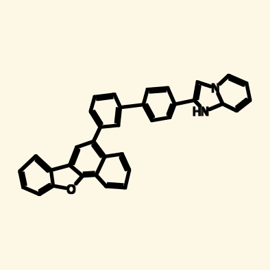 C1=CC2NC(c3ccc(-c4cccc(-c5cc6c7ccccc7oc6c6ccccc56)c4)cc3)=CN2C=C1